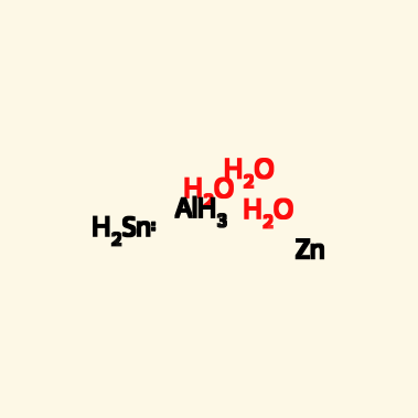 O.O.O.[AlH3].[SnH2].[Zn]